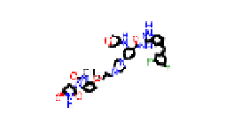 Cn1c(=O)n(C2CCC(=O)NC2=O)c2cccc(OCCCN3CCN(c4ccc(C(=O)Nc5n[nH]c6ccc(Cc7cc(F)cc(F)c7)cc56)c(NC5CCOCC5)c4)CC3)c21